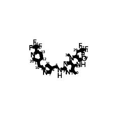 Cc1nc(NCc2cnn(Cc3ccc(C(F)(F)F)nc3)c2)nc2c1NC(=O)[C@H](CC(F)(F)F)N2C